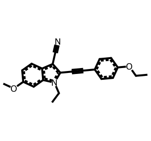 CCOc1ccc(C#Cc2c(C#N)c3ccc(OC)cc3n2CC)cc1